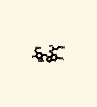 CCCC(CCO)Nc1nc(N)nc2cnn(Cc3cc(CNC)c(F)cc3OC)c12